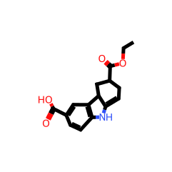 CCOC(=O)C1CC=C2Nc3ccc(C(=O)O)cc3C2C1